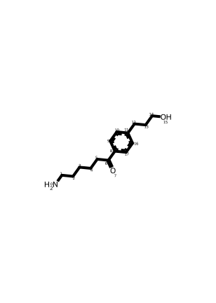 NCCCCCC(=O)c1ccc(CCCO)cc1